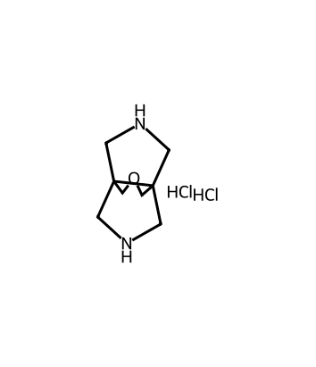 C1NCC23CNCC12COC3.Cl.Cl